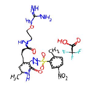 Cc1cc(CC(=O)NCCONC(=N)N)c(NS(=O)(=O)c2cc([N+](=O)[O-])ccc2C)c(=O)[nH]1.O=C(O)C(F)(F)F